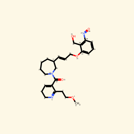 COCCC1=NCCC=C1C(=O)N1CCCCC(C=CCOc2cccc(N=O)c2CO)C1